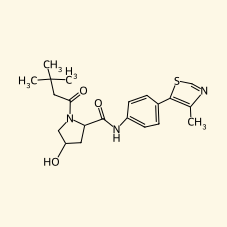 Cc1ncsc1-c1ccc(NC(=O)C2CC(O)CN2C(=O)CC(C)(C)C)cc1